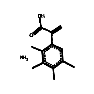 C=C(C(=O)O)c1cc(C)c(C)c(C)c1C.N